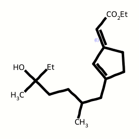 CCOC(=O)/C=C1/C=C(CC(C)CCC(C)(O)CC)CC1